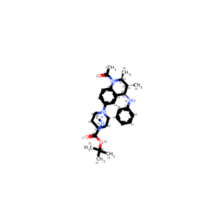 CC(=O)N1c2ccc(N3CC4CCC3CN4C(=O)OC(C)(C)C)cc2[C@H](Nc2ccccc2)[C@@H](C)[C@@H]1C